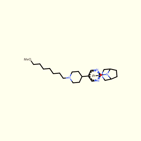 COCCCCCCCN1CCC(c2cnc(N3C4CCC3CN(C(C)C)C4)nc2)CC1